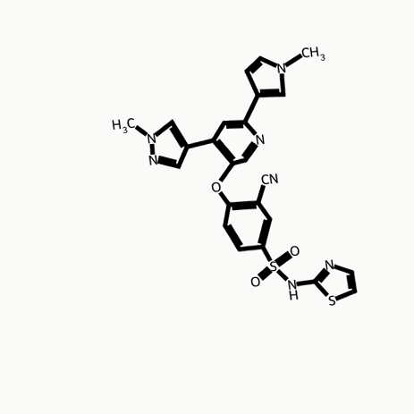 Cn1ccc(-c2cc(-c3cnn(C)c3)c(Oc3ccc(S(=O)(=O)Nc4nccs4)cc3C#N)cn2)c1